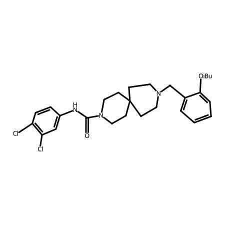 CC(C)COc1ccccc1CN1CCC2(CC1)CCN(C(=O)Nc1ccc(Cl)c(Cl)c1)CC2